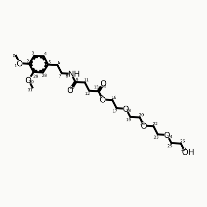 COc1ccc(CCNC(=O)CCC(=O)OCCOCCOCCOCCO)cc1OC